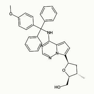 COc1ccc(C(Nc2ncnn3c([C@H]4C[C@H](C)[C@@H](CO)O4)ccc23)(c2ccccc2)c2ccccc2)cc1